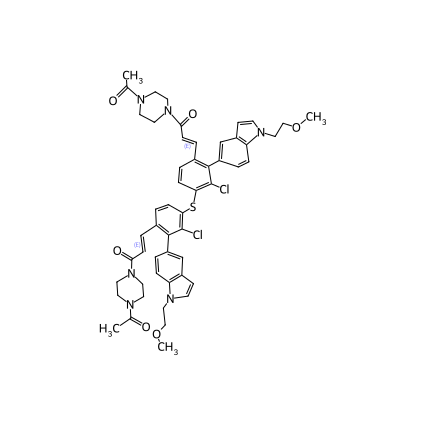 COCCn1ccc2cc(-c3c(/C=C/C(=O)N4CCN(C(C)=O)CC4)ccc(Sc4ccc(/C=C/C(=O)N5CCN(C(C)=O)CC5)c(-c5ccc6c(ccn6CCOC)c5)c4Cl)c3Cl)ccc21